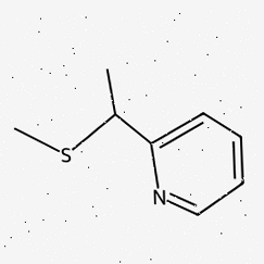 CSC(C)c1ccccn1